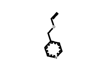 C=COCc1ccncc1